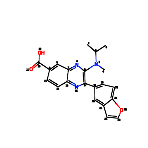 CC(C)N(C)c1nc2cc(C(=O)O)ccc2nc1-c1ccc2occc2c1